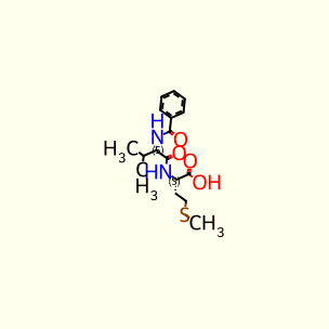 CSCC[C@H](NC(=O)[C@@H](NC(=O)c1ccccc1)C(C)C)C(=O)O